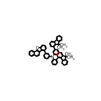 CC1(C)C2=C(CCC=C2)c2c(-c3ccccc3N(c3cccc(-c4cccc5c4C(C)(C)c4ccccc4-5)c3)c3cccc(-c4cccc5oc6c7ccccc7ccc6c45)c3)cccc21